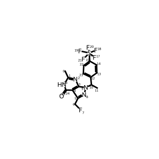 Cc1nc2c(c(CF)nn2C(C)c2ccc(S(F)(F)(F)(F)F)cc2)c(=O)[nH]1